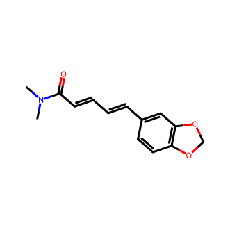 CN(C)C(=O)/C=C/C=C/c1ccc2c(c1)OCO2